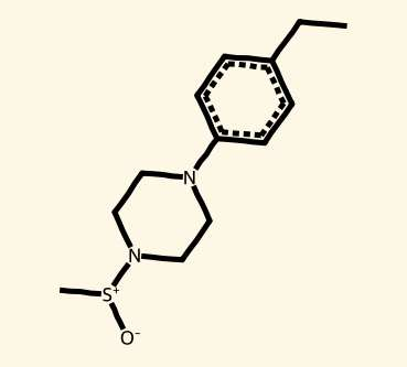 CCc1ccc(N2CCN([S+](C)[O-])CC2)cc1